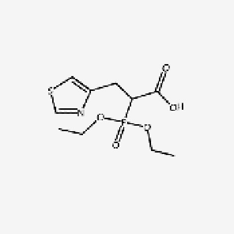 CCOP(=O)(OCC)C(Cc1cscn1)C(=O)O